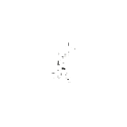 CCOc1c(-c2ccc(C(=O)NCCN(CC)CC)s2)ccc(N(CC)CC)c1OC